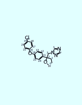 CCC(Cn1cncn1)(OC)c1ccc(Oc2ccc(Cl)cc2)cc1